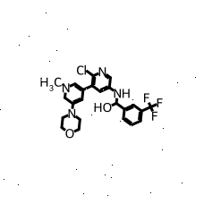 CN1C=C(c2cc(NC(O)c3cccc(C(F)(F)F)c3)cnc2Cl)C=C(N2CCOCC2)C1